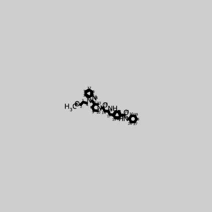 COCCCn1c(C2CCCN(C(=O)CC(N)Cc3ccc(C(=O)NC4CCCCC4)cc3)C2)nc2ccccc21